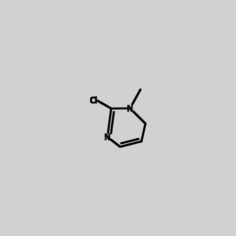 CN1CC=CN=C1Cl